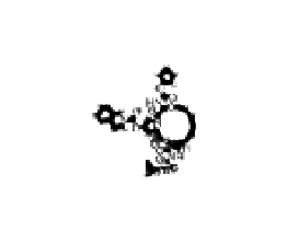 O=C(N[C@H]1CCCCC/C=C\[C@@H]2C[C@@]2(C(=O)NS(=O)(=O)NC2CC2)NC(=O)[C@@H]2C[C@@H](OC(=O)N3CCc4ccccc4C3)CN2C1=O)OC1CCCC1